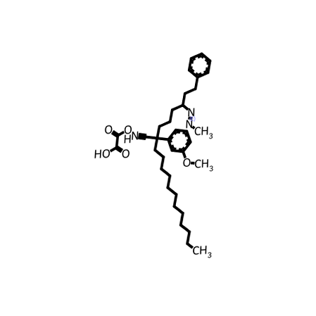 CCCCCCCCCCCCC(C#N)(CCCC(CCc1ccccc1)/N=N/C)c1cccc(OC)c1.O=C(O)C(=O)O